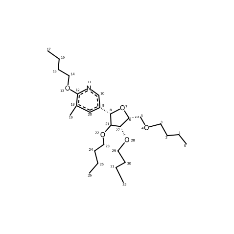 CCCCOC[C@H]1O[C@@H](c2cnc(OCCCC)c(C)c2)C(OCCCC)[C@H]1OCCCC